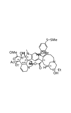 CC[C@]1(O)C[C@H]2CN(CCc3c([nH]c4ccc(SSC)cc34)[C@@](C(=O)OC)(c3cc4c(cc3OC)N(C)[C@H]3[C@@](O)(C(=O)OC)[C@H](OC(C)=O)[C@]5(CC)C=CCN6CC[C@]43[C@@H]65)C2)C1